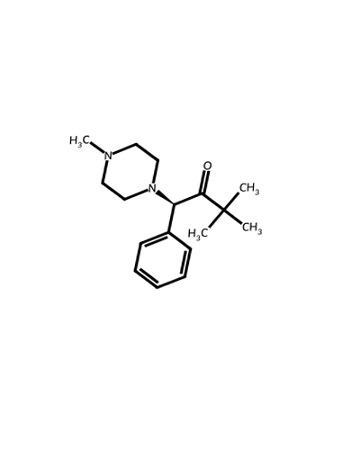 CN1CCN([C@@H](C(=O)C(C)(C)C)c2ccccc2)CC1